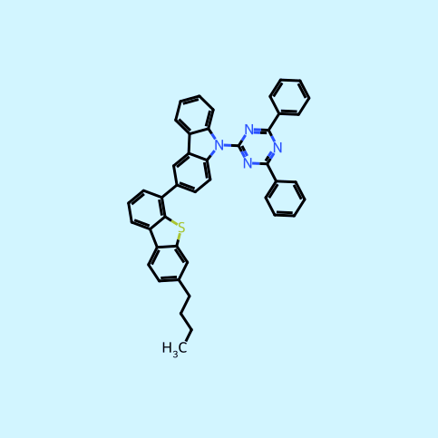 CCCCc1ccc2c(c1)sc1c(-c3ccc4c(c3)c3ccccc3n4-c3nc(-c4ccccc4)nc(-c4ccccc4)n3)cccc12